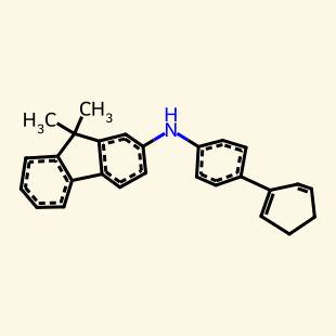 CC1(C)c2ccccc2-c2ccc(Nc3ccc(C4=CCCC=C4)cc3)cc21